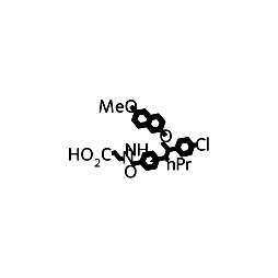 CCCC(c1ccc(C(=O)N(N)CCC(=O)O)cc1)C(COc1ccc2cc(OC)ccc2c1)c1ccc(Cl)cc1